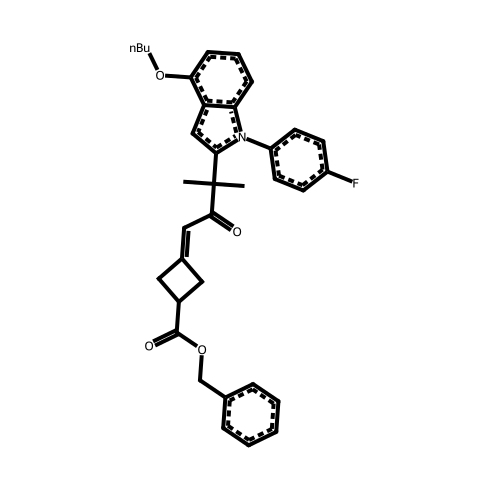 CCCCOc1cccc2c1cc(C(C)(C)C(=O)C=C1CC(C(=O)OCc3ccccc3)C1)n2-c1ccc(F)cc1